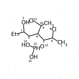 CCC(O)CC(CC(C)Cl)C(C)Cl.O=[PH](O)O